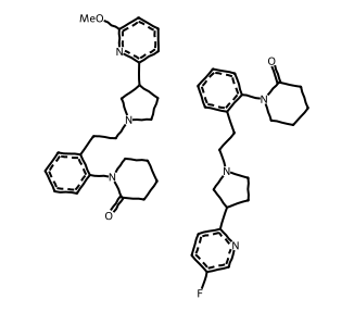 COc1cccc(C2CCN(CCc3ccccc3N3CCCCC3=O)C2)n1.O=C1CCCCN1c1ccccc1CCN1CCC(c2ccc(F)cn2)C1